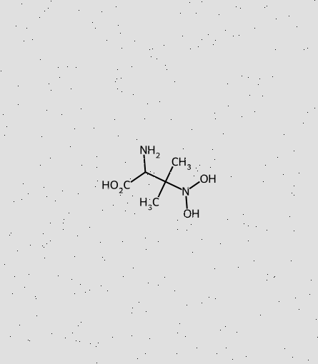 CC(C)(C(N)C(=O)O)N(O)O